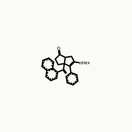 C=C(c1cccc2ccccc12)C12CCC(=O)C1CC(CCCCCC)=C2c1ccccc1